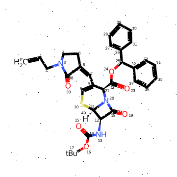 C=CCN1CCC(=CC2=CS[C@@H]3[C@H](NC(=O)OC(C)(C)C)C(=O)N3[C@@H]2C(=O)OC(c2ccccc2)c2ccccc2)C1=O